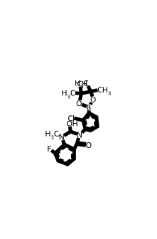 CN1c2c(F)cccc2C(=O)N(c2cccc(B3OC(C)(C)C(C)(C)O3)c2Cl)C1O